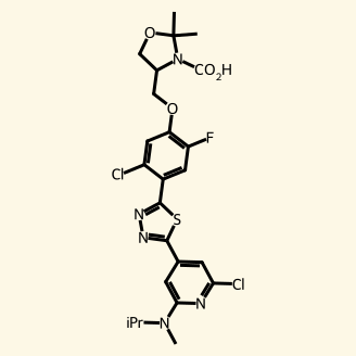 CC(C)N(C)c1cc(-c2nnc(-c3cc(F)c(OCC4COC(C)(C)N4C(=O)O)cc3Cl)s2)cc(Cl)n1